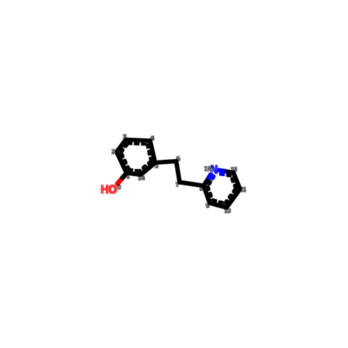 Oc1cccc(CCc2ccccn2)c1